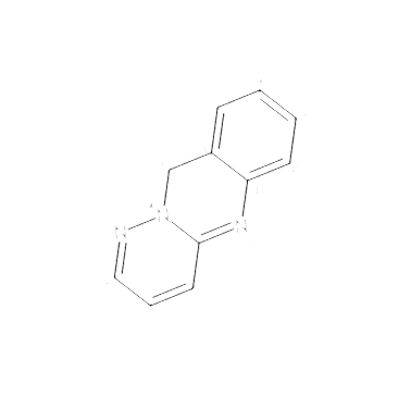 [C]1=CC=NN2Cc3ccccc3N=C12